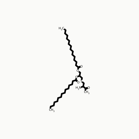 CCCCCCCCCCCCCCCC(=O)OCC(CSCC(N)C(C)=O)OC(=O)CCCCCCCCCCCCCC